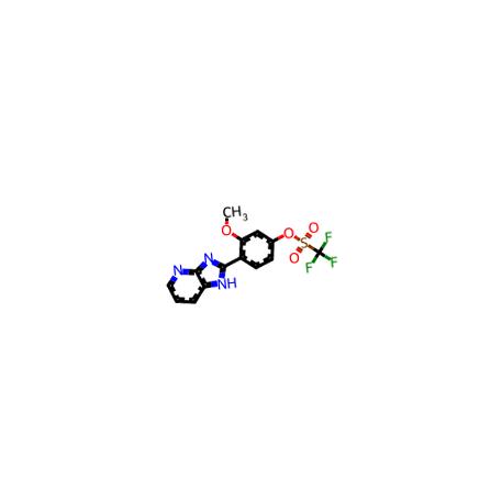 COc1cc(OS(=O)(=O)C(F)(F)F)ccc1-c1nc2ncccc2[nH]1